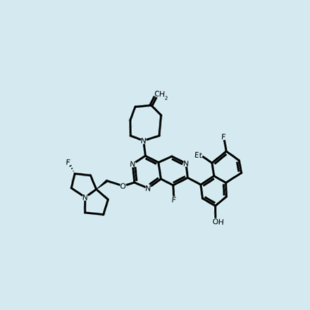 C=C1CCCN(c2nc(OC[C@@]34CCCN3C[C@H](F)C4)nc3c(F)c(-c4cc(O)cc5ccc(F)c(CC)c45)ncc23)CC1